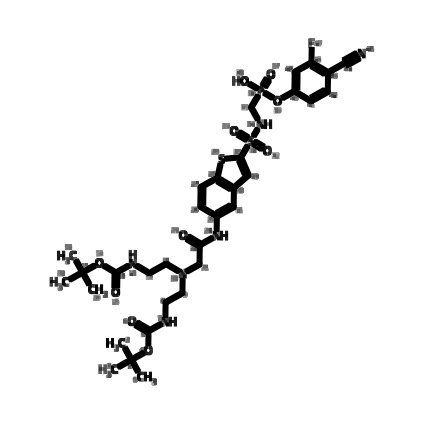 CC(C)(C)OC(=O)NCCN(CCNC(=O)OC(C)(C)C)CC(=O)Nc1ccc2sc(S(=O)(=O)NCP(=O)(O)Oc3ccc(C#N)c(F)c3)cc2c1